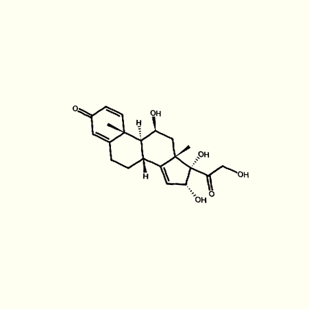 C[C@]12C=CC(=O)C=C1CC[C@H]1C3=C[C@@H](O)[C@](O)(C(=O)CO)[C@@]3(C)C[C@H](O)[C@@H]12